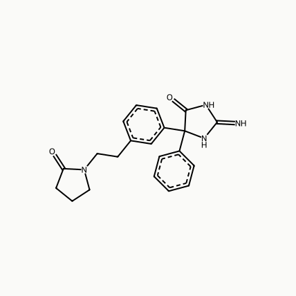 N=C1NC(=O)C(c2ccccc2)(c2cccc(CCN3CCCC3=O)c2)N1